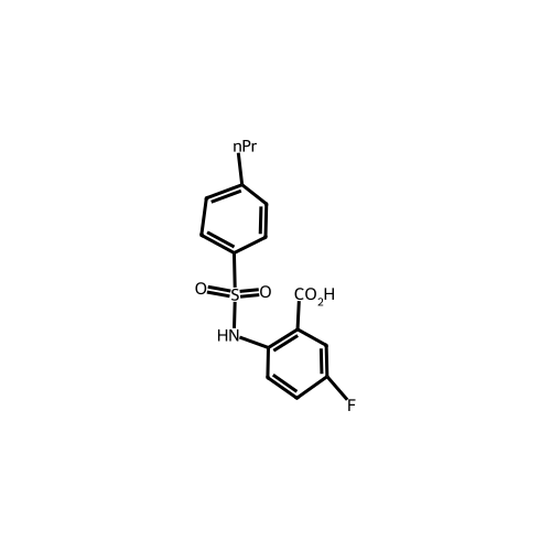 CCCc1ccc(S(=O)(=O)Nc2ccc(F)cc2C(=O)O)cc1